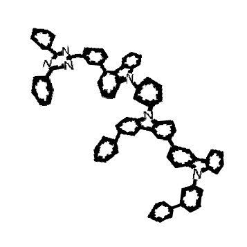 c1ccc(-c2cccc(-n3c4ccccc4c4cc(-c5ccc6c(c5)c5cc(-c7ccccc7)ccc5n6-c5cccc(-n6c7ccccc7c7c(-c8cccc(-c9nc(-c%10ccccc%10)nc(-c%10ccccc%10)n9)c8)cccc76)c5)ccc43)c2)cc1